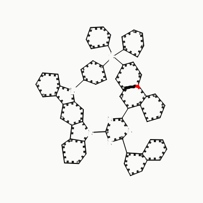 c1ccc([Si](c2ccccc2)(c2ccccc2)c2ccc(-n3c4ccccc4c4cc5c6ccccc6n(-c6nc(-c7cccc8ccccc78)nc(-c7cccc8ccccc78)n6)c5cc43)cc2)cc1